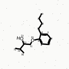 CCCCc1ccccc1OCC(O)C(C)C